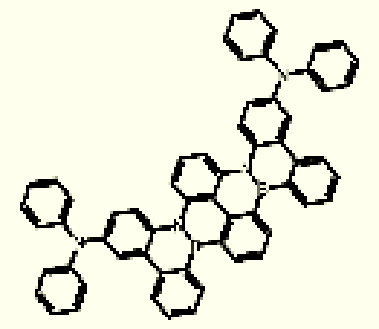 c1ccc(N(c2ccccc2)c2ccc3c(c2)-c2ccccc2B2c4cccc5c4-c4c(cccc4N4B5c5ccccc5-c5cc(N(c6ccccc6)c6ccccc6)ccc54)N23)cc1